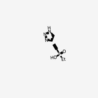 C#CP(=O)(O)CC.c1c[nH]nn1